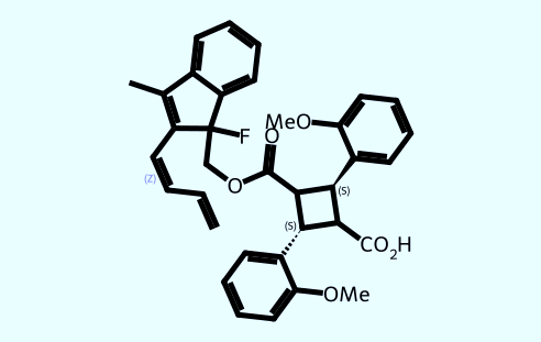 C=C/C=C\C1=C(C)c2ccccc2C1(F)COC(=O)C1[C@@H](c2ccccc2OC)C(C(=O)O)[C@@H]1c1ccccc1OC